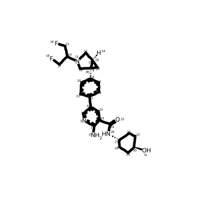 Nc1ncc(-c2ccc([C@@]34C[C@@H]3CN(C(CF)CF)C4)cc2)cc1C(=O)N[C@H]1CC[C@H](O)CC1